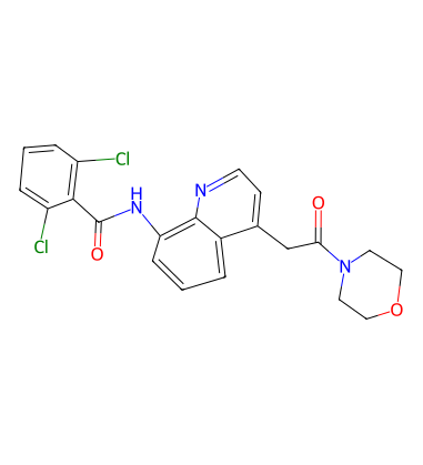 O=C(Nc1cccc2c(CC(=O)N3CCOCC3)ccnc12)c1c(Cl)cccc1Cl